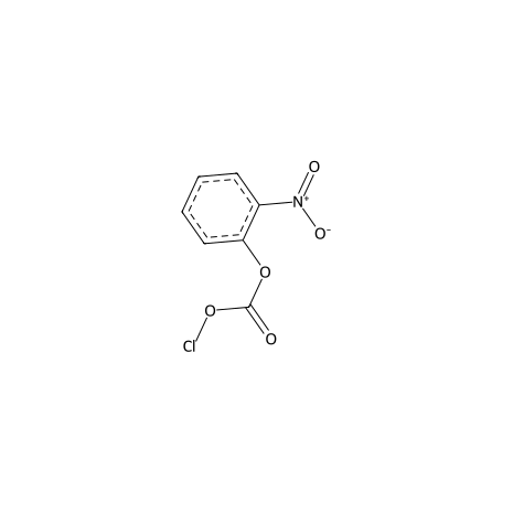 O=C(OCl)Oc1ccccc1[N+](=O)[O-]